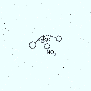 O=[N+]([O-])c1ccc(S(=O)(=O)N(CC#Cc2ccccc2)CC#CC2C=CC=CC=C2)cc1